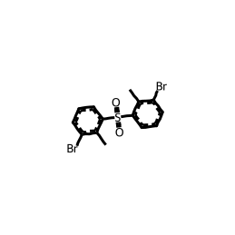 Cc1c(Br)cccc1S(=O)(=O)c1cccc(Br)c1C